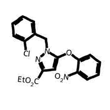 CCOC(=O)c1cc(Oc2ccccc2[N+](=O)[O-])n(Cc2ccccc2Cl)n1